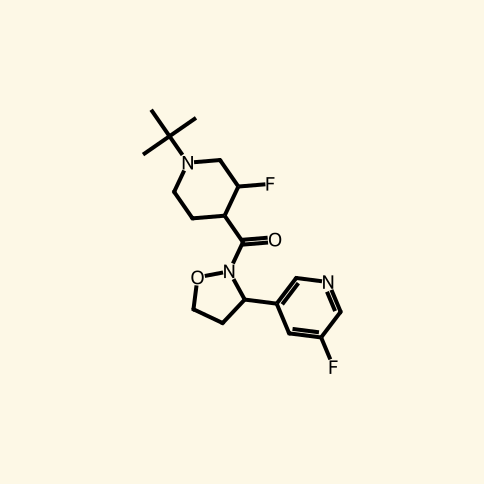 CC(C)(C)N1CCC(C(=O)N2OCCC2c2cncc(F)c2)C(F)C1